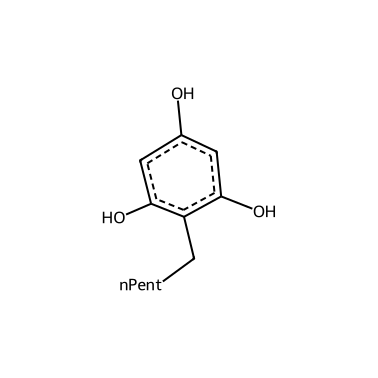 CCCCCCc1c(O)cc(O)cc1O